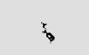 O=C1C2CC3CC1CC(C(=O)OCC(F)F)(C3)C2